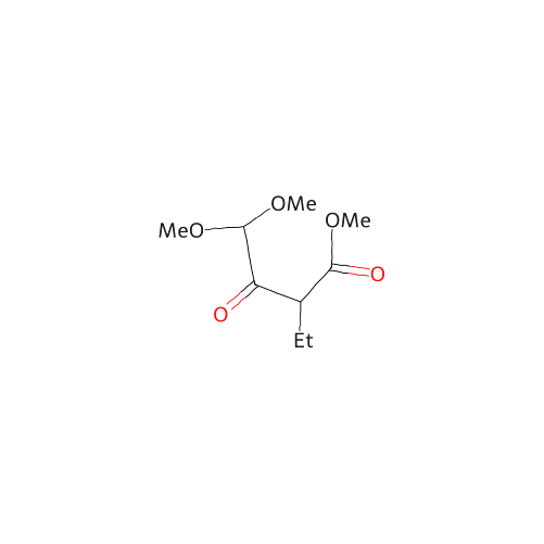 CCC(C(=O)OC)C(=O)C(OC)OC